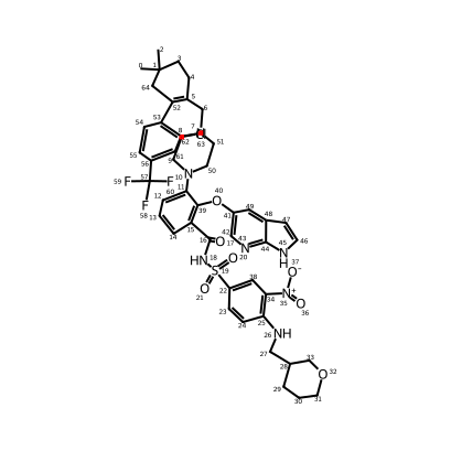 CC1(C)CCC(CN2CCN(c3cccc(C(=O)NS(=O)(=O)c4ccc(NCC5CCCOC5)c([N+](=O)[O-])c4)c3Oc3cnc4[nH]ccc4c3)CC2)=C(c2ccc(C(F)(F)F)cc2Cl)C1